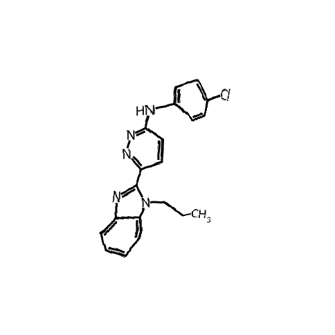 CCCn1c(-c2ccc(Nc3ccc(Cl)cc3)nn2)nc2ccccc21